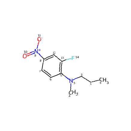 CCCN(C)c1ccc([N+](=O)[O-])cc1F